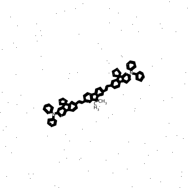 CC1(C)c2cc(/C=C/c3ccc4c(c3)C3(CCCC3)c3cc(N(c5ccccc5)c5ccccc5)ccc3-4)ccc2-c2ccc(/C=C/c3ccc4c(c3)C3(CCCC3)c3cc(N(c5ccccc5)c5ccccc5)ccc3-4)cc21